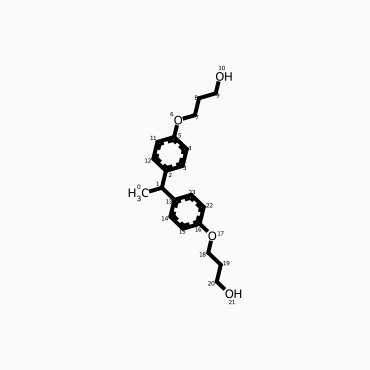 CC(c1ccc(OCCCO)cc1)c1ccc(OCCCO)cc1